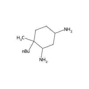 CCCCC1(C)CCC(N)CC1N